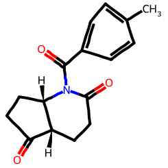 Cc1ccc(C(=O)N2C(=O)CC[C@@H]3C(=O)CC[C@@H]32)cc1